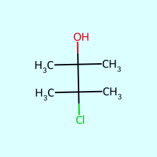 CC(C)(O)C(C)(C)Cl